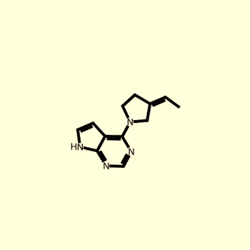 C/C=C1/CCN(c2ncnc3[nH]ccc23)C1